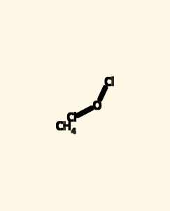 C.ClOCl